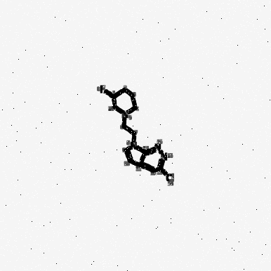 FC1CCCN(CCn2ccc3cc(Cl)nnc32)C1